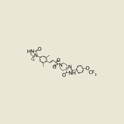 Cc1cc(N2C(=O)NCC23CC3)cc(C)c1/C=C/S(=O)(=O)N1CCC2(CC1)N=C(c1ccc(OC(F)(F)F)cc1)NC2=O